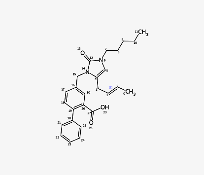 C/C=C/Cc1cn(CCCCC)c(=O)n1Cc1ccc(-c2ccccc2)c(C(=O)O)c1